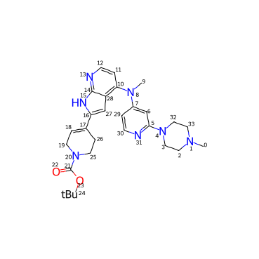 CN1CCN(c2cc(N(C)c3ccnc4[nH]c(C5=CCN(C(=O)OC(C)(C)C)CC5)cc34)ccn2)CC1